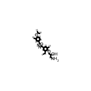 CCc1cc(-c2nnc(-c3ccc(OC(C)C)c(C)c3)o2)cc(C)c1OCC(O)CN